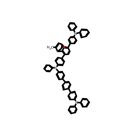 CC1=CC2c3c(-c4ccc(N(c5ccccc5)c5ccccc5)cc4)ccc(-c4ccc(N(c5ccccc5)c5ccc(-c6ccc(-c7ccc(N(c8ccccc8)c8ccccc8)cc7)cc6)cc5)cc4)c3C1CC2C(C)C